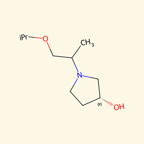 CC(C)OCC(C)N1CC[C@@H](O)C1